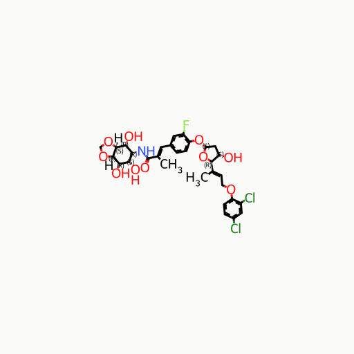 CC(=Cc1ccc(O[C@H]2C[C@H](O)[C@@H](C(C)=CCOc3ccc(Cl)cc3Cl)O2)c(F)c1)C(=O)N[C@@H]1[C@H](O)[C@@H](O)[C@H]2OCO[C@H]2[C@@H]1O